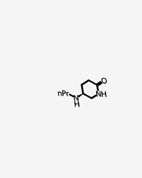 CCCN[C@H]1CCC(=O)NC1